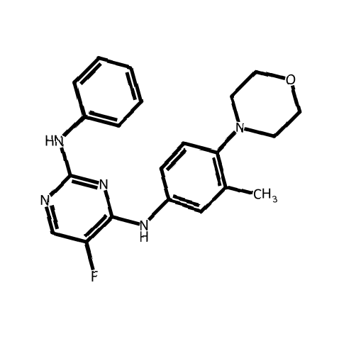 Cc1cc(Nc2nc(Nc3ccccc3)ncc2F)ccc1N1CCOCC1